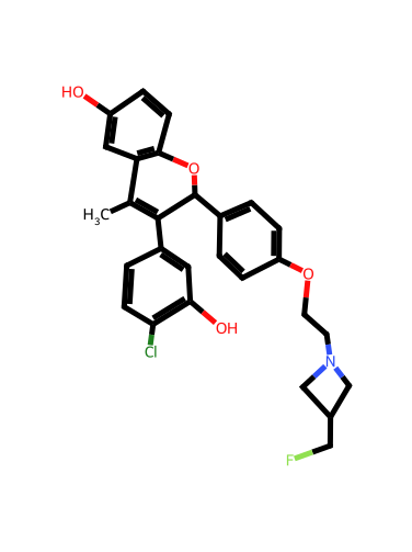 CC1=C(c2ccc(Cl)c(O)c2)C(c2ccc(OCCN3CC(CF)C3)cc2)Oc2ccc(O)cc21